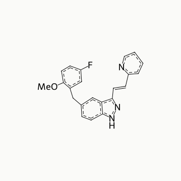 COc1ccc(F)cc1Cc1ccc2[nH]nc(/C=C/c3ccccn3)c2c1